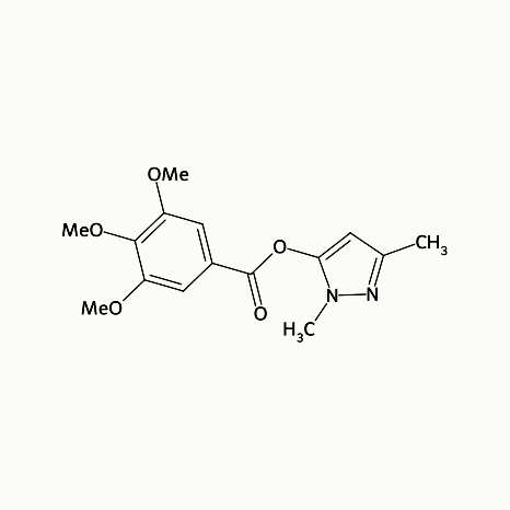 COc1cc(C(=O)Oc2cc(C)nn2C)cc(OC)c1OC